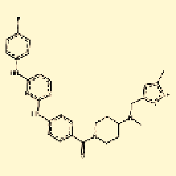 Cc1cc(CN(C)C2CCN(C(=O)c3ccc(Nc4nccc(Nc5ccc(F)cc5)n4)cc3)CC2)n[nH]1